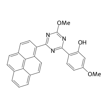 COc1ccc(-c2nc(OC)nc(-c3ccc4ccc5cccc6ccc3c4c56)n2)c(O)c1